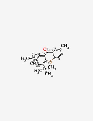 Cc1ccc2sc3c(C(C)(C)C)cc(C(C)(C)C)cc3c(=O)c2c1